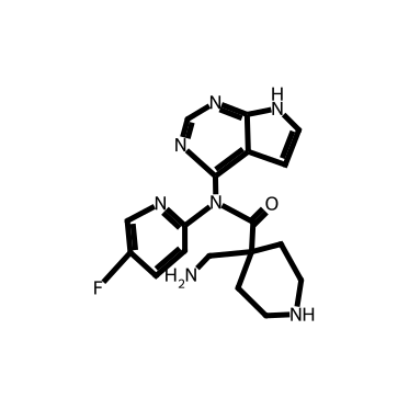 NCC1(C(=O)N(c2ccc(F)cn2)c2ncnc3[nH]ccc23)CCNCC1